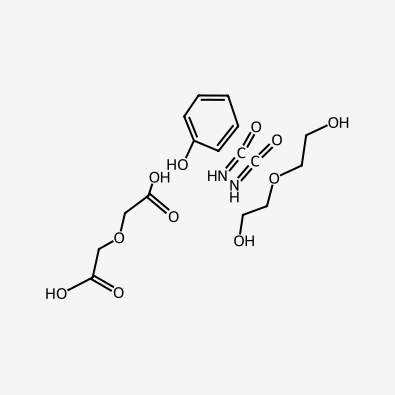 N=C=O.N=C=O.O=C(O)COCC(=O)O.OCCOCCO.Oc1ccccc1